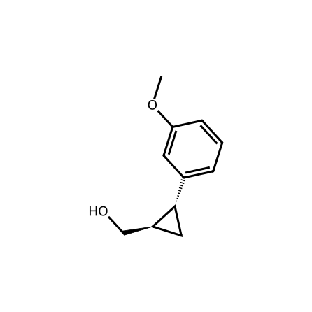 COc1cccc([C@@H]2C[C@H]2CO)c1